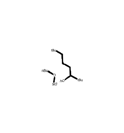 CC(C)(C)CCCC(O)C(C)(C)C.CCCCON=O